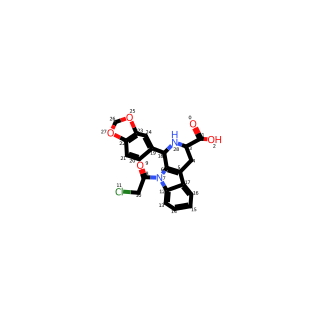 O=C(O)C1Cc2c(n(C(=O)CCl)c3ccccc23)C(c2ccc3c(c2)OCO3)N1